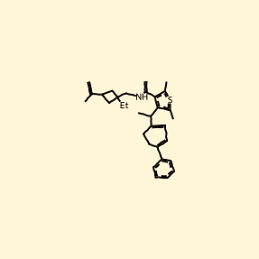 C=C(NCC1(CC)CC(C(=C)C)C1)c1c(C)sc(C)c1C(C)C1=CC=C(c2ccccc2)CC1